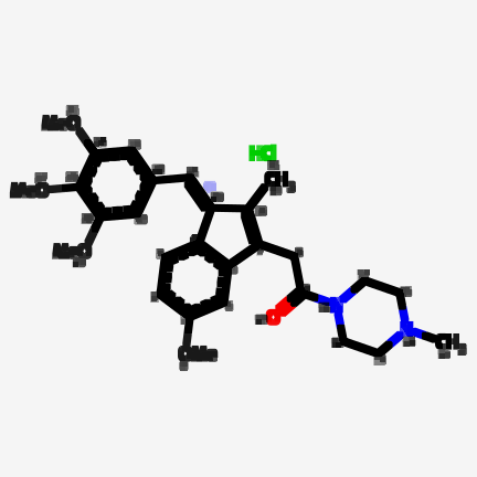 COc1ccc2c(c1)C(CC(=O)N1CCN(C)CC1)=C(C)/C2=C/c1cc(OC)c(OC)c(OC)c1.Cl